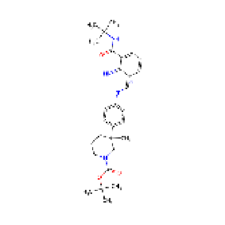 CC(C)(C)NC(=O)C1=CC=C/C(=C/Nc2ccc(C3(C)CCCN(C(=O)OC(C)(C)C)C3)cc2)C1=N